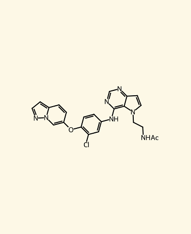 CC(=O)NCCn1ccc2ncnc(Nc3ccc(Oc4ccc5ccnn5c4)c(Cl)c3)c21